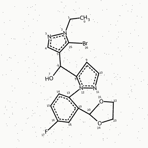 CCn1ncc(C(O)c2ccnn2-c2ccc(F)cc2C2OCCO2)c1Br